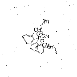 Cc1ccccc1OP(O)(OCCC(C)C)(c1ccccc1C)c1ccccc1C